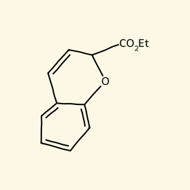 CCOC(=O)C1C=Cc2ccccc2O1